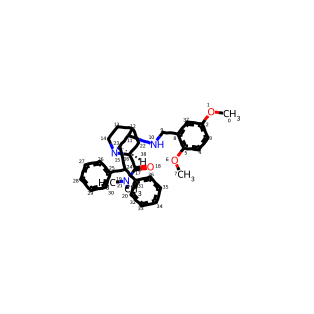 COc1ccc(OC)c(CNC2C3CCN(C(C(=O)N(C)C)C3)[C@@H]2C(c2ccccc2)c2ccccc2)c1